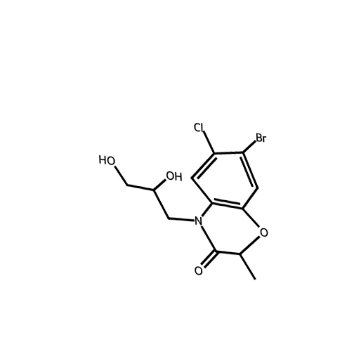 CC1Oc2cc(Br)c(Cl)cc2N(CC(O)CO)C1=O